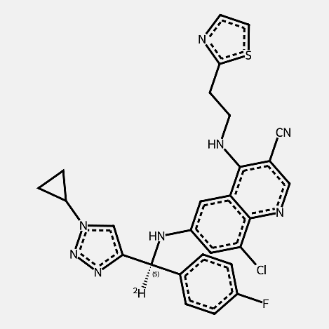 [2H][C@](Nc1cc(Cl)c2ncc(C#N)c(NCCc3nccs3)c2c1)(c1ccc(F)cc1)c1cn(C2CC2)nn1